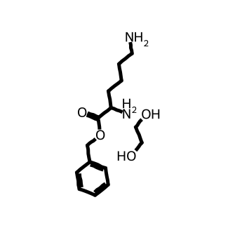 NCCCCC(N)C(=O)OCc1ccccc1.OCCO